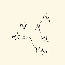 C=CC.CN(C)C.N